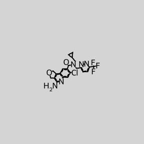 Nc1nc2cc(Cl)c(C(=O)N(Cc3ccc(C(F)(F)F)nn3)CC3CC3)cc2c2c1COC2